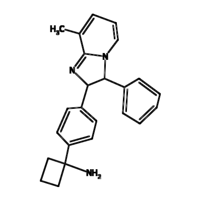 CC1=CC=CN2C1=NC(c1ccc(C3(N)CCC3)cc1)C2c1ccccc1